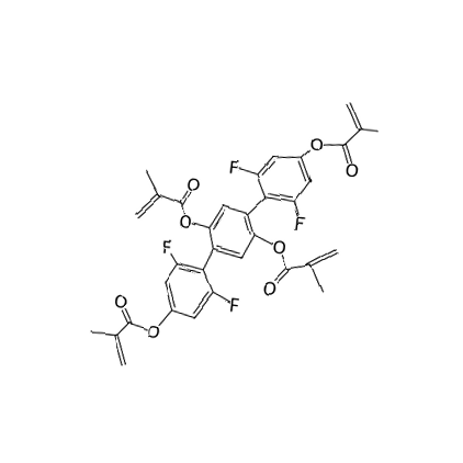 C=C(C)C(=O)Oc1cc(F)c(-c2cc(OC(=O)C(=C)C)c(-c3c(F)cc(OC(=O)C(=C)C)cc3F)cc2OC(=O)C(=C)C)c(F)c1